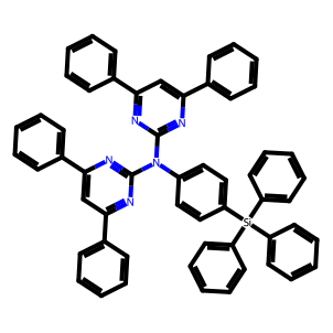 c1ccc(-c2cc(-c3ccccc3)nc(N(c3ccc([Si](c4ccccc4)(c4ccccc4)c4ccccc4)cc3)c3nc(-c4ccccc4)cc(-c4ccccc4)n3)n2)cc1